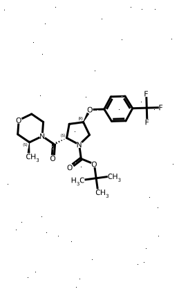 C[C@H]1COCCN1C(=O)[C@@H]1C[C@@H](Oc2ccc(C(F)(F)F)cc2)CN1C(=O)OC(C)(C)C